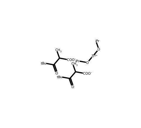 CC(C(=O)[O-])C(=O)C(C)(C)C.CC(C(=O)[O-])C(=O)C(C)(C)C.CC(C)[O][Zr+2][O]C(C)C